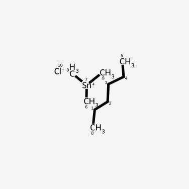 CCCCCC.[CH3][Sn+]([CH3])[CH3].[Cl-]